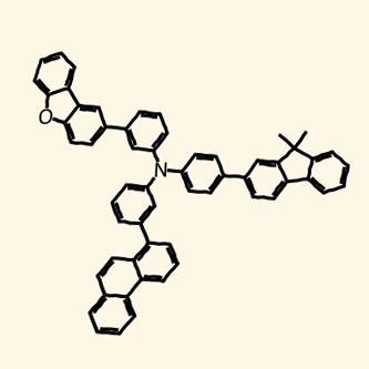 CC1(C)c2ccccc2-c2ccc(-c3ccc(N(c4cccc(-c5ccc6oc7ccccc7c6c5)c4)c4cccc(-c5cccc6c5ccc5ccccc56)c4)cc3)cc21